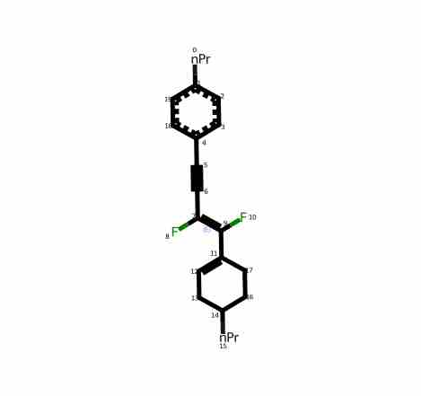 CCCc1ccc(C#C/C(F)=C(\F)C2=CCC(CCC)CC2)cc1